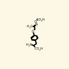 C/C(COc1ccc(CC(N)C(=O)O)cc1)=N\OC(=O)O